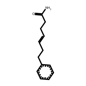 NC(=O)CC/C=C/CCc1ccccc1